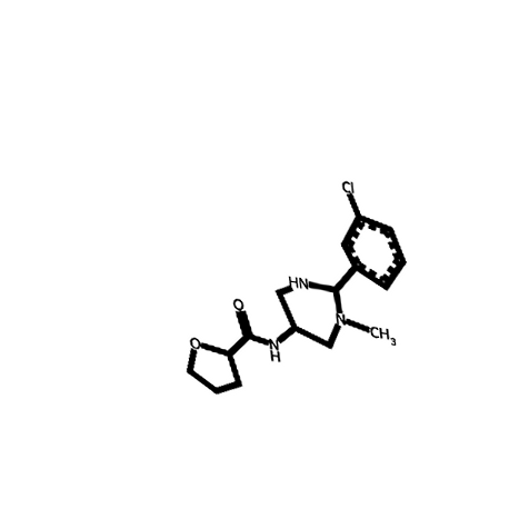 CN1CC(NC(=O)C2CCCO2)CNC1c1cccc(Cl)c1